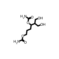 NC(=O)OCCCC(OC(N)=O)C(CO)CO